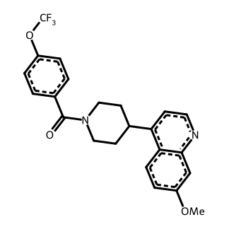 COc1ccc2c(C3CCN(C(=O)c4ccc(OC(F)(F)F)cc4)CC3)ccnc2c1